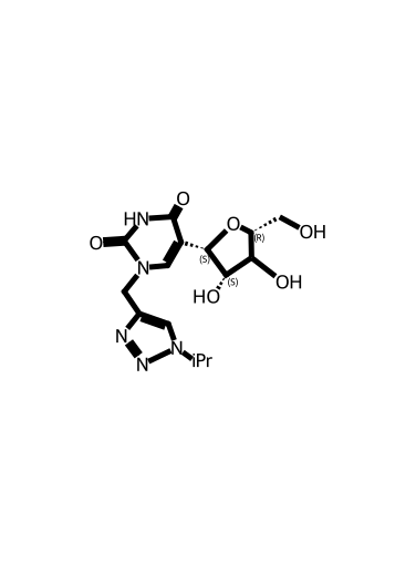 CC(C)n1cc(Cn2cc([C@@H]3O[C@H](CO)C(O)[C@@H]3O)c(=O)[nH]c2=O)nn1